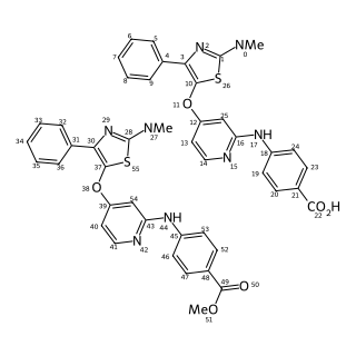 CNc1nc(-c2ccccc2)c(Oc2ccnc(Nc3ccc(C(=O)O)cc3)c2)s1.CNc1nc(-c2ccccc2)c(Oc2ccnc(Nc3ccc(C(=O)OC)cc3)c2)s1